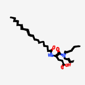 CCCCCCCCCCCCCCCCCC(=O)NC(CCC(=O)O)C(=O)N(CCCC)CCCC